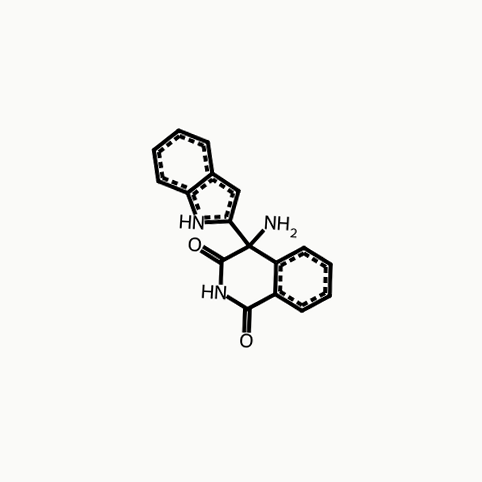 NC1(c2cc3ccccc3[nH]2)C(=O)NC(=O)c2ccccc21